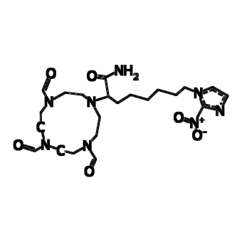 NC(=O)C(CCCCCCn1ccnc1[N+](=O)[O-])N1CCN(C=O)CCN(C=O)CCN(C=O)CC1